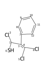 SC(Cl)C(=C(Cl)Cl)c1ccccc1